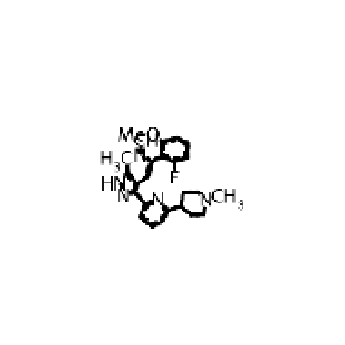 C=N/C(=C\c1c(-c2cccc(C3CCN(C)CC3)n2)n[nH]c1C)c1c(F)cccc1OC